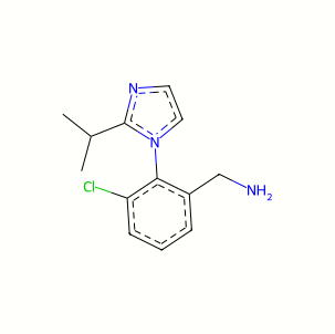 CC(C)c1nccn1-c1c(Cl)cccc1CN